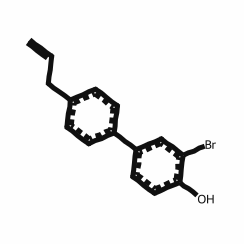 C=CCc1ccc(-c2ccc(O)c(Br)c2)cc1